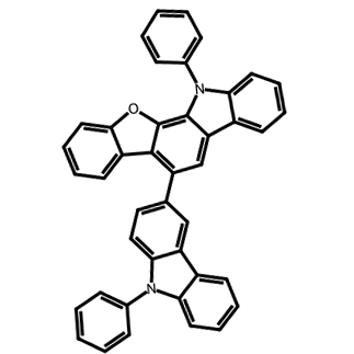 c1ccc(-n2c3ccccc3c3cc(-c4cc5c6ccccc6n(-c6ccccc6)c5c5oc6ccccc6c45)ccc32)cc1